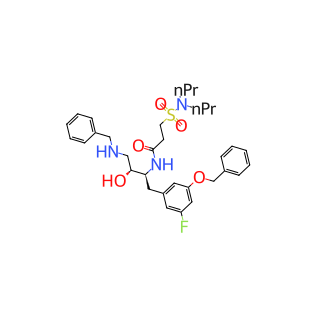 CCCN(CCC)S(=O)(=O)CCC(=O)N[C@@H](Cc1cc(F)cc(OCc2ccccc2)c1)[C@@H](O)CNCc1ccccc1